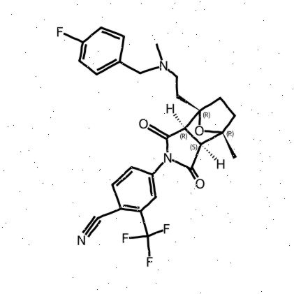 CN(CC[C@@]12CC[C@@](C)(O1)[C@H]1C(=O)N(c3ccc(C#N)c(C(F)(F)F)c3)C(=O)[C@H]12)Cc1ccc(F)cc1